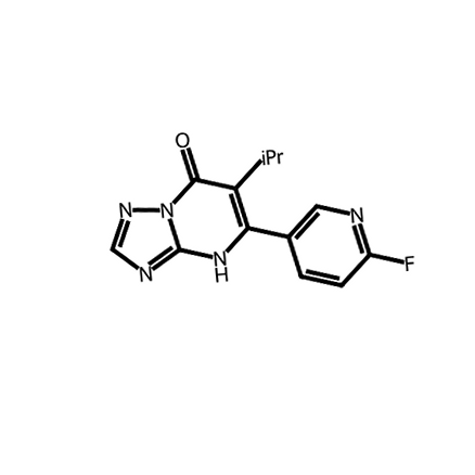 CC(C)c1c(-c2ccc(F)nc2)[nH]c2ncnn2c1=O